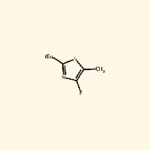 Cc1sc(C(C)(C)C)nc1F